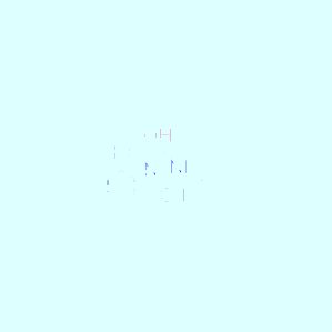 CCN(c1ccccc1)C(C)(O)[C@@H](N)CC1CCCCC1